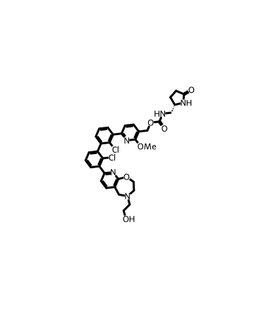 COc1nc(-c2cccc(-c3cccc(-c4ccc5c(n4)OCCN(CCO)C5)c3Cl)c2Cl)ccc1COC(=O)NC[C@@H]1CCC(=O)N1